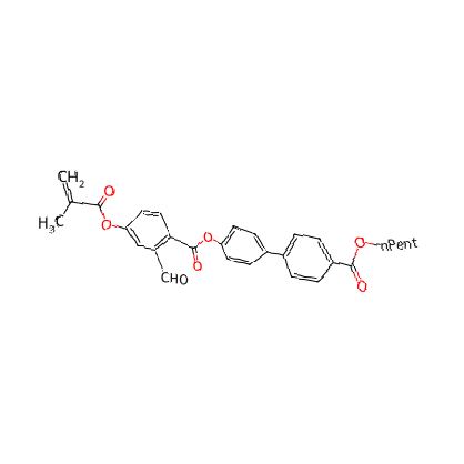 C=C(C)C(=O)Oc1ccc(C(=O)Oc2ccc(-c3ccc(C(=O)OCCCCC)cc3)cc2)c(C=O)c1